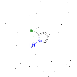 Nn1cccc1Br